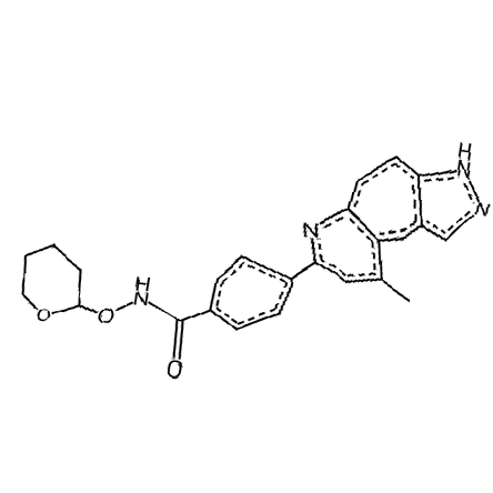 Cc1cc(-c2ccc(C(=O)NOC3CCCCO3)cc2)nc2ccc3[nH]ncc3c12